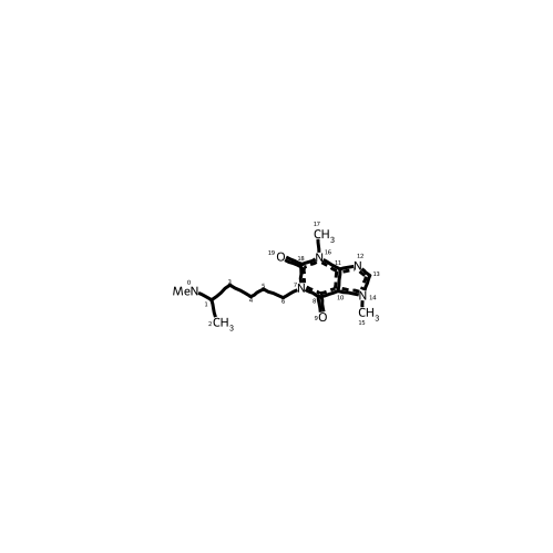 CNC(C)CCCCn1c(=O)c2c(ncn2C)n(C)c1=O